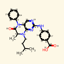 CC(C)CCN1c2nc(Nc3ccc(C(=O)O)cc3)ncc2N(c2ccccc2)C(=O)C1C